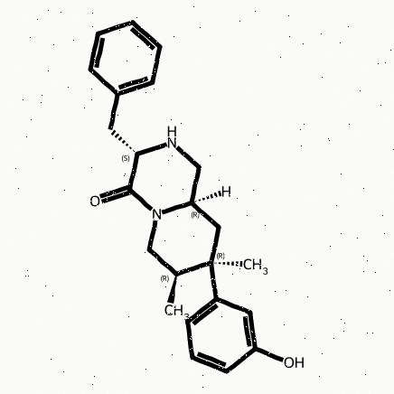 C[C@H]1CN2C(=O)[C@H](Cc3ccccc3)NC[C@H]2C[C@@]1(C)c1cccc(O)c1